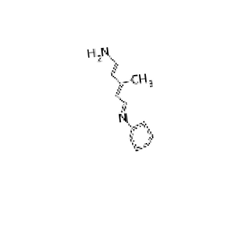 CC(/C=C/N)=C\C=N\c1ccccc1